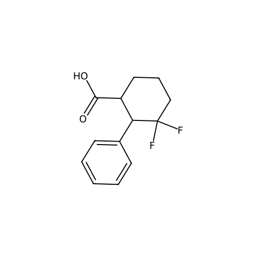 O=C(O)C1CCCC(F)(F)C1c1ccccc1